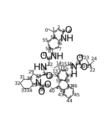 Cc1cc(=O)[nH]c2cc(NC(=O)[C@H](CCCCNC(=O)OC(C)(C)C)NC(=O)[C@@H]3CC4CCCCC4N3C(=O)OCC3c4ccccc4-c4ccccc43)ccc12